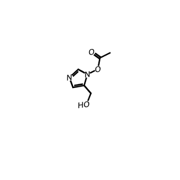 CC(=O)On1cncc1CO